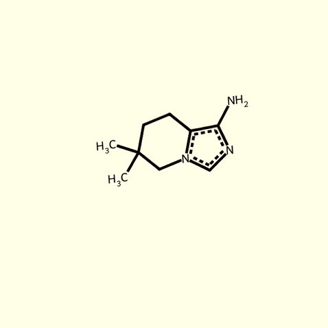 CC1(C)CCc2c(N)ncn2C1